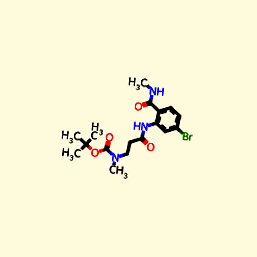 CNC(=O)c1ccc(Br)cc1NC(=O)CCN(C)C(=O)OC(C)(C)C